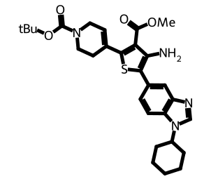 COC(=O)c1c(C2=CCN(C(=O)OC(C)(C)C)CC2)sc(-c2ccc3c(c2)ncn3C2CCCCC2)c1N